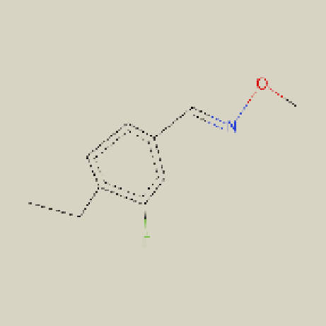 CCc1ccc(/C=N/OC)cc1F